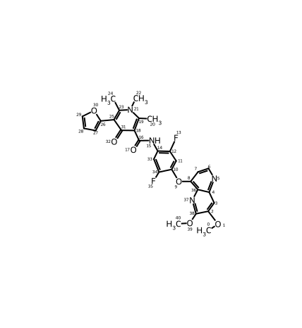 COc1cc2nccc(Oc3cc(F)c(NC(=O)c4c(C)n(C)c(C)c(-c5ccco5)c4=O)cc3F)c2nc1OC